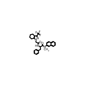 CN(C(=O)C(Cc1ccccc1)NC(=O)Cn1nc(C(F)(F)F)c2c1CCCC2)c1ccc2ccccc2c1